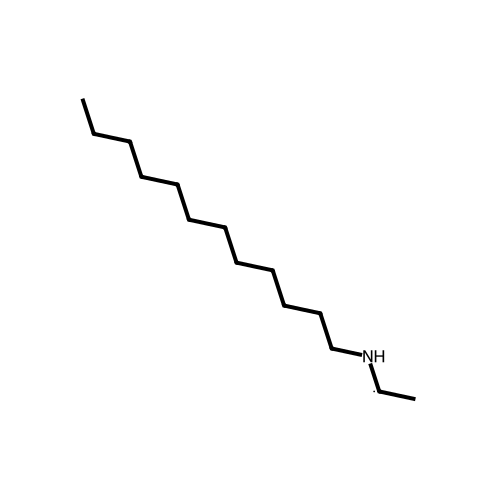 C[CH]NCCCCCCCCCCCC